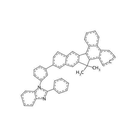 CC1(C)c2cc3cc(-c4cccc(-n5c(-c6ccccc6)nc6ccccc65)c4)ccc3cc2-c2c1c1ccccc1c1ccccc21